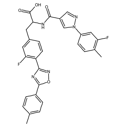 Cc1ccc(-c2nc(-c3ccc(CC(NC(=O)c4cnn(-c5ccc(C)c(F)c5)c4)C(=O)O)cc3F)no2)cc1